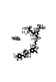 CCc1cc(Nc2nccn3c(-c4ccc(OC)c(F)c4F)cnc23)ccc1C(=O)NCCCNC(=O)[C@H](CCCNC(=N)N)NC(=O)CC[C@H](N)C(=O)O.Cl.Cl.Cl